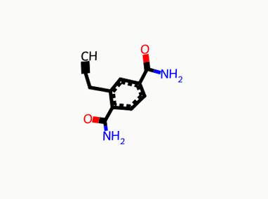 C#CCc1cc(C(N)=O)ccc1C(N)=O